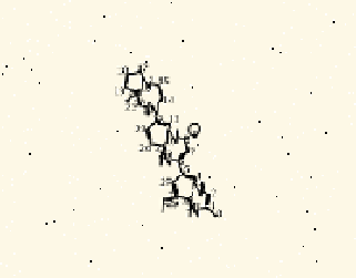 Cc1cn2cc(-c3cc(=O)n4cc(N5CCN6CCC[C@@]6(C)C5)ccc4n3)cc(F)c2n1